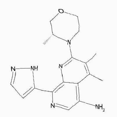 Cc1c(N2CCOC[C@H]2C)nc2c(-c3ccn[nH]3)ncc(N)c2c1C